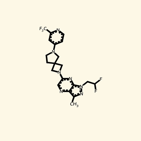 Cc1nn(CC(F)F)c2nc(N3CC4(CCN(c5ccnc(C(F)(F)F)c5)C4)C3)cnc12